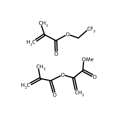 C=C(C)C(=O)OC(=C)C(=O)OC.C=C(C)C(=O)OCC(F)(F)F